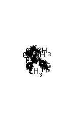 Cc1ccc(F)c(-c2cn(Cc3ccc(C(F)(F)F)cc3)c3c(N[C@H](C)C4CCC4)nc(C(=O)O)nc23)c1